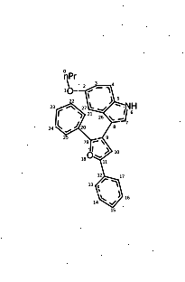 CCCOc1ccc2[nH]cc(-c3cc(-c4ccccc4)oc3-c3ccccc3)c2c1